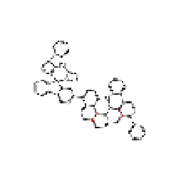 c1ccc(-c2ccc(-c3ccccc3N(c3cccc4ccccc34)c3ccc(-c4ccc5c(c4)C4(c6ccccc6-5)c5ccccc5-n5c6ccccc6c6cccc4c65)c4ccccc34)cc2)cc1